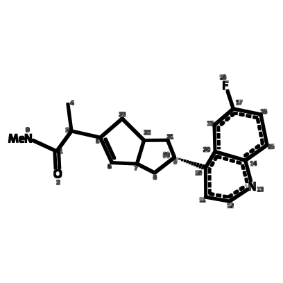 CNC(=O)C(C)C1=CC2C[C@@H](c3ccnc4ccc(F)cc34)CC2C1